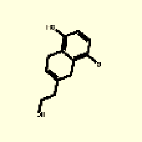 OCCC1=CCc2c(O)ccc(O)c2C1